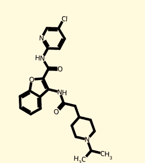 CC(C)N1CCC(CC(=O)Nc2c(C(=O)Nc3ccc(Cl)cn3)oc3ccccc23)CC1